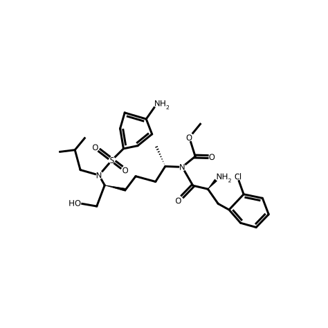 COC(=O)N(C(=O)[C@@H](N)Cc1ccccc1Cl)[C@@H](C)CCC[C@@H](CO)N(CC(C)C)S(=O)(=O)c1ccc(N)cc1